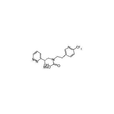 COC(=O)N(CCc1ccc(C(F)(F)F)nc1)CC(O)c1cccnn1